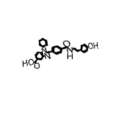 O=C(O)c1ccc2c(c1)nc(-c1ccc(C(=O)NCCc3ccc(O)cc3)cc1)n2C1CCCCC1